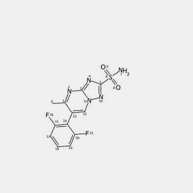 Cc1nc2nc(S(N)(=O)=O)nn2cc1-c1c(F)cccc1F